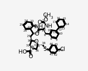 COC(=O)N[C@@H](Cc1cccc(-c2ccccc2)c1)C(=O)Nc1ccccc1CC[C@@H]1CN(C(=O)O)C[C@@H](CSc2ccc(Cl)cc2)O1